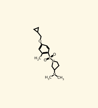 [CH2]c1cc(OCC2CC2)ccc1S(=O)(=O)N1CCC(N(C)C)C1